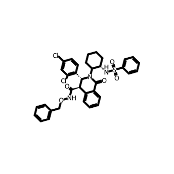 O=C(NOCc1ccccc1)[C@@H]1c2ccccc2C(=O)N(C2CCCC[C@@H]2NS(=O)(=O)c2ccccc2)[C@H]1c1ccc(Cl)cc1Cl